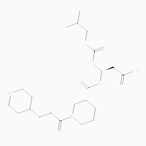 CC(C)COC(=O)N[C@@H](CC(=O)O)NC(=O)[C@@H]1CCCN(C(=O)CCC2CCNCC2)C1